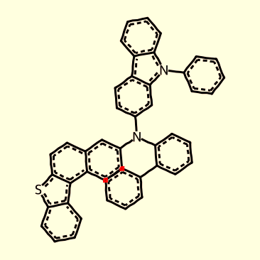 c1ccc(-c2ccccc2N(c2ccc3c(ccc4sc5ccccc5c43)c2)c2ccc3c4ccccc4n(-c4ccccc4)c3c2)cc1